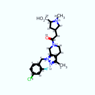 Cc1nn(Cc2ccc(Cl)cc2F)c2c1CCN(C(=O)CC1CC(C(=O)O)N(C)C1)C2